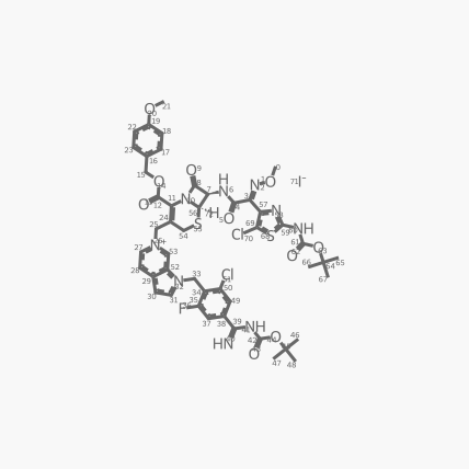 CON=C(C(=O)N[C@@H]1C(=O)N2C(C(=O)OCc3ccc(OC)cc3)=C(C[n+]3ccc4ccn(Cc5c(F)cc(C(=N)NC(=O)OC(C)(C)C)cc5Cl)c4c3)CS[C@H]12)c1nc(NC(=O)OC(C)(C)C)sc1Cl.[I-]